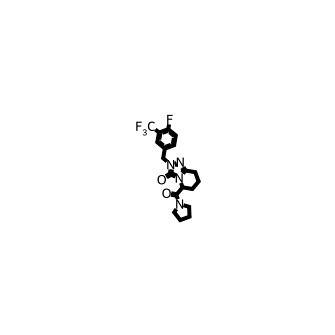 O=C(C1CCCc2nn(Cc3ccc(F)c(C(F)(F)F)c3)c(=O)n21)N1CCCC1